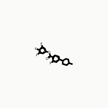 CC1CCC(c2ccc(C(=O)Oc3cc(F)c(F)c(F)c3)c(F)c2)CC1